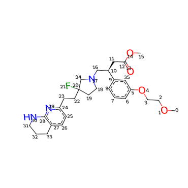 COCCOc1cccc([C@H](CC(=O)OC)CN2CCC(F)(CCc3ccc4c(n3)NCCC4)C2)c1